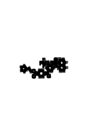 O=C(OCCC1CCCC1)N1CCN(C(=O)c2ccc(NS(=O)(=O)c3cccc4cccnc34)c(OC(F)(F)F)c2)CC1